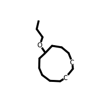 CCCOC1CCCCCCCCCCC1